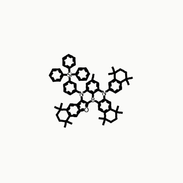 Cc1cc2c3c(c1)N(c1cccc([Si](c4ccccc4)(c4ccccc4)c4ccccc4)c1)c1c(oc4cc5c(cc14)C(C)(C)CCC5(C)C)B3c1cc3c(cc1N2c1ccc2c(c1)C(C)(C)CCC2(C)C)C(C)(C)CCC3(C)C